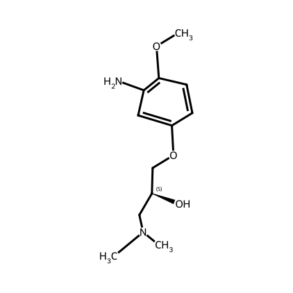 COc1ccc(OC[C@@H](O)CN(C)C)cc1N